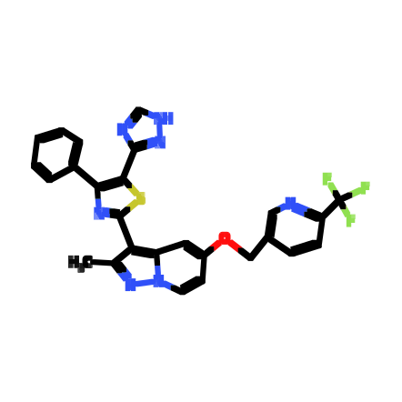 Cc1nn2ccc(OCc3ccc(C(F)(F)F)nc3)cc2c1-c1nc(-c2ccccc2)c(-c2nc[nH]n2)s1